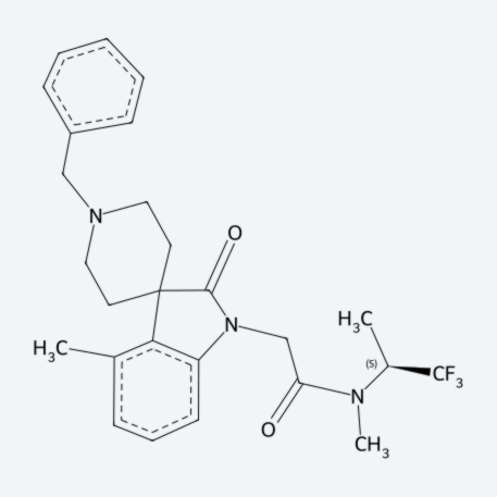 Cc1cccc2c1C1(CCN(Cc3ccccc3)CC1)C(=O)N2CC(=O)N(C)[C@@H](C)C(F)(F)F